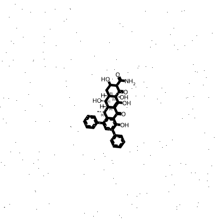 C[C@H]1c2c(-c3ccccc3)cc(-c3ccccc3)c(O)c2C(=O)C2=C(O)[C@]3(O)C(=O)C(C(N)=O)C(O)C[C@@H]3[C@@H](O)[C@@H]21